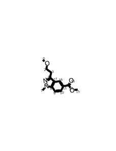 COCCc1nn(C)c2ccc(C(=O)OC)cc12